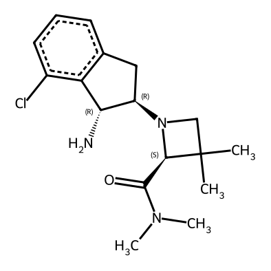 CN(C)C(=O)[C@H]1N([C@@H]2Cc3cccc(Cl)c3[C@H]2N)CC1(C)C